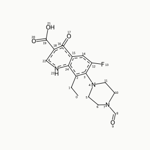 CCc1c(N2CCN(C=O)CC2)c(F)cc2c(=O)c(C(=O)O)c[nH]c12